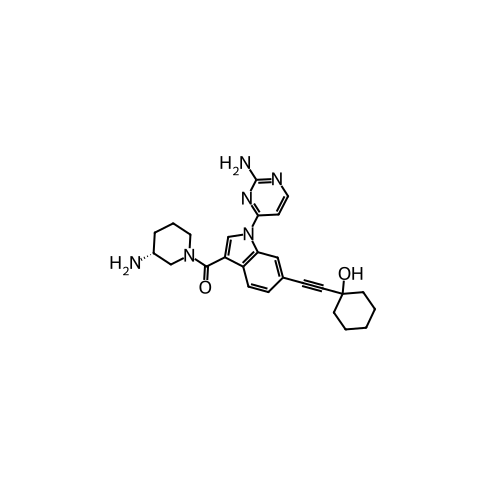 Nc1nccc(-n2cc(C(=O)N3CCC[C@@H](N)C3)c3ccc(C#CC4(O)CCCCC4)cc32)n1